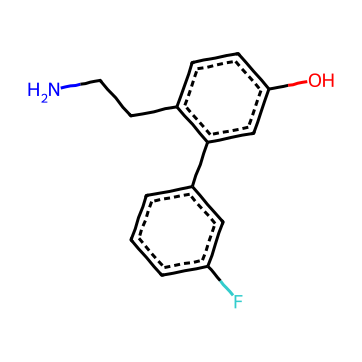 NCCc1ccc(O)cc1-c1cccc(F)c1